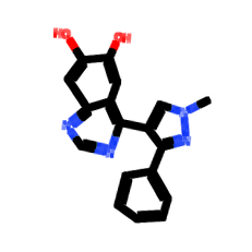 Cn1cc(-c2ncnc3cc(O)c(O)cc23)c(-c2ccccc2)n1